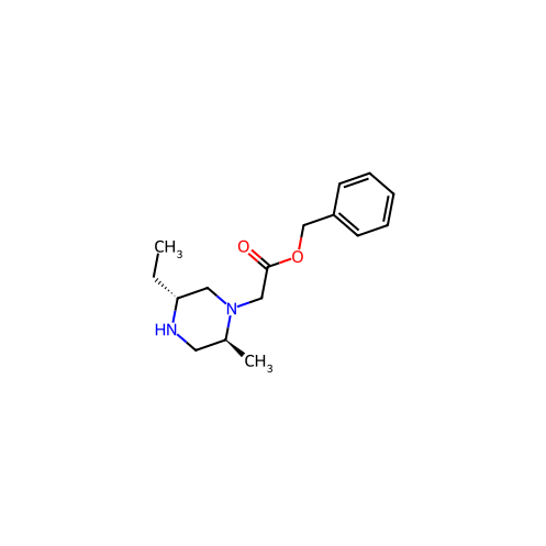 CC[C@@H]1CN(CC(=O)OCc2ccccc2)[C@@H](C)CN1